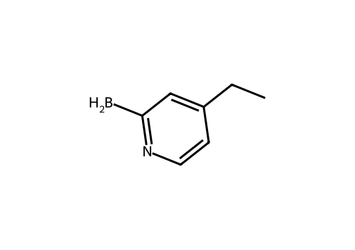 Bc1cc(CC)ccn1